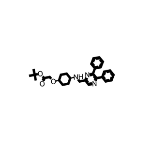 CC(C)(C)OC(=O)CO[C@H]1CC[C@@H](NCc2cnc(-c3ccccc3)c(-c3ccccc3)n2)CC1